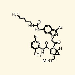 C=CCCCNC(=O)Nc1ccc2c(C(C)=O)nn(CC(=O)N3[C@H](C(=O)Nc4nc(Br)ccc4C)C[C@@]4(COC)C[C@@H]34)c2c1